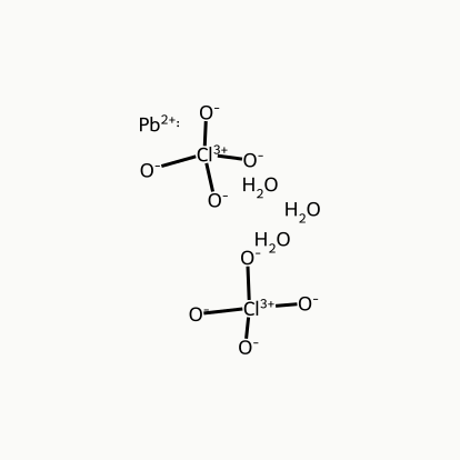 O.O.O.[O-][Cl+3]([O-])([O-])[O-].[O-][Cl+3]([O-])([O-])[O-].[Pb+2]